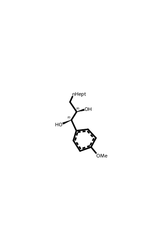 CCCCCCCC[C@@H](O)[C@H](O)c1ccc(OC)cc1